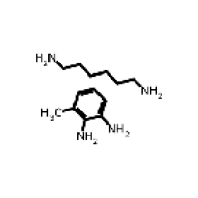 Cc1cccc(N)c1N.NCCCCCCN